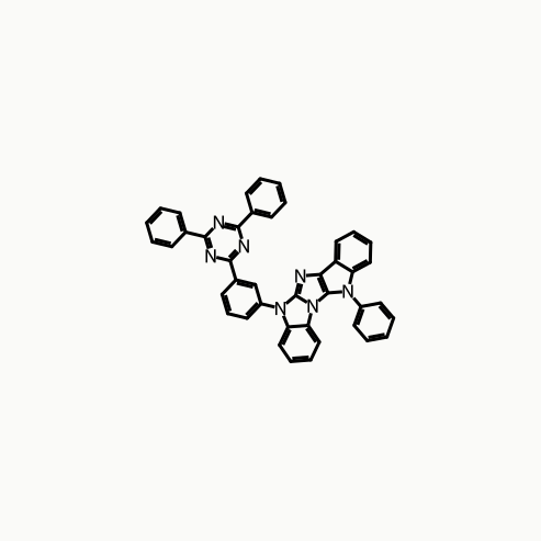 c1ccc(-c2nc(-c3ccccc3)nc(-c3cccc(-n4c5ccccc5n5c4nc4c6ccccc6n(-c6ccccc6)c45)c3)n2)cc1